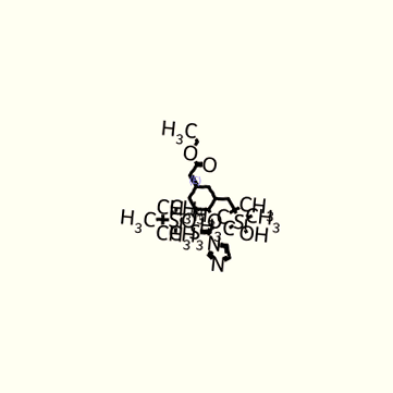 CCOC(=O)/C=C1\CC(CC(C)(C)[Si](C)(C)O)C(OC(=S)n2ccnc2)[C@H](O[Si](C)(C)C(C)(C)C)C1